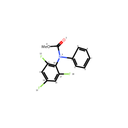 COC(=O)N(c1ccccc1)c1c(F)cc(F)cc1F